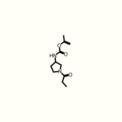 C=C(C)OC(=O)NC1CCN(C(=O)CC)C1